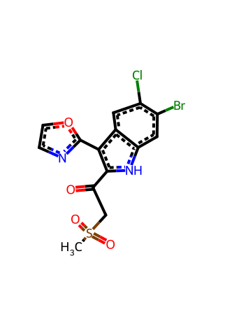 CS(=O)(=O)CC(=O)c1[nH]c2cc(Br)c(Cl)cc2c1-c1ncco1